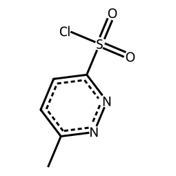 Cc1ccc(S(=O)(=O)Cl)nn1